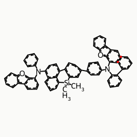 C[Si]1(C)c2cc(-c3ccc(N(c4ccccc4-c4ccccc4)c4cccc5c4oc4ccccc45)cc3)ccc2-c2ccc(N(c3ccccc3)c3cccc4c3oc3ccccc34)c3cccc1c23